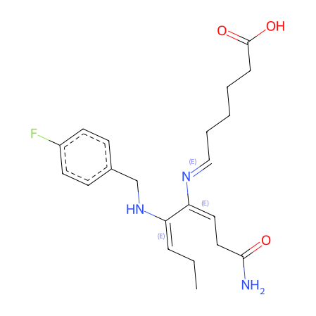 CC\C=C(NCc1ccc(F)cc1)/C(=C\CC(N)=O)/N=C/CCCCC(=O)O